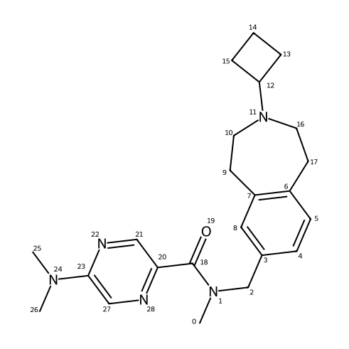 CN(Cc1ccc2c(c1)CCN(C1CCC1)CC2)C(=O)c1cnc(N(C)C)cn1